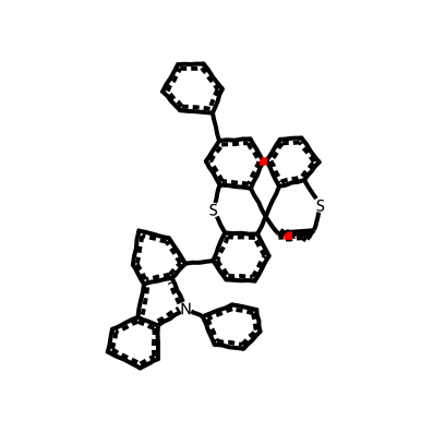 c1ccc(-c2ccc3c(c2)Sc2c(-c4cccc5c6ccccc6n(-c6ccccc6)c45)cccc2C32c3ccccc3Sc3ccccc32)cc1